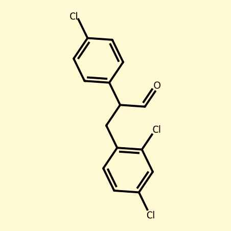 O=CC(Cc1ccc(Cl)cc1Cl)c1ccc(Cl)cc1